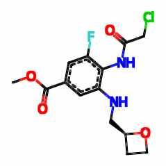 COC(=O)c1cc(F)c(NC(=O)CCl)c(NC[C@@H]2CCO2)c1